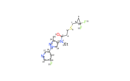 CCN(C(=O)CCSCC1CC1(F)F)c1cn(-c2cncc(F)c2)nc1C